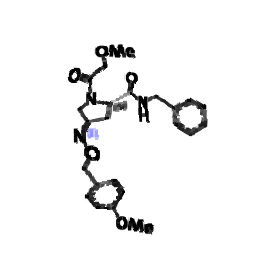 COCC(=O)N1C/C(=N/OCc2ccc(OC)cc2)C[C@H]1C(=O)NCc1ccccc1